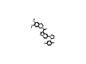 COc1cc2c(cc1OC)CN(C(=O)c1cnn3ccc(N4CCC[C@@H]4c4cc(F)ccc4F)cc13)CC2